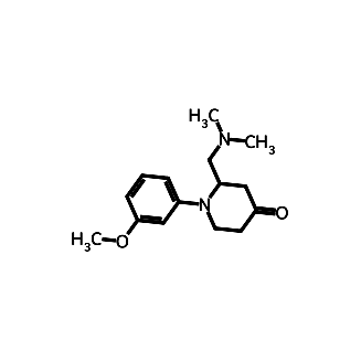 COc1cccc(N2CCC(=O)CC2CN(C)C)c1